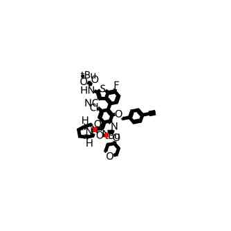 C#Cc1ccc(COc2c(-c3ccc(F)c4sc(NC(=O)OC(C)(C)C)c(C#N)c34)c(Cl)cc3c(N4C[C@H]5CC[C@@H](C4)N5C(=O)OC(C)(C)C)nc(OC4CCOCC4)nc23)cc1